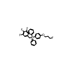 FCCCOc1ccc([PH](Cc2cc(F)c(F)c(F)c2)(c2ccccc2)c2ccccc2)cc1